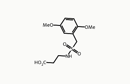 COc1ccc(OC)c(CS(=O)(=O)NCCC(=O)O)c1